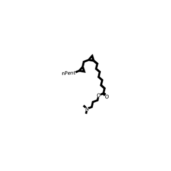 CCCCCC1CC1CC1CC1CCCCCCCC(=O)OCCCN(C)C